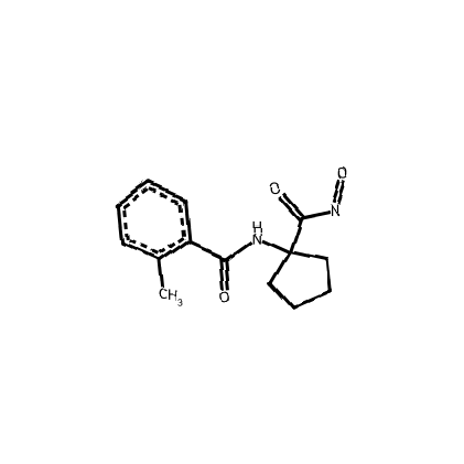 Cc1ccccc1C(=O)NC1(C(=O)N=O)CCCC1